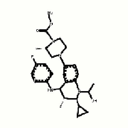 CC(O)N1c2ccc(N3CCN(C(=O)OC(C)(C)C)[C@@H](C)C3)cc2[C@H](Nc2ccc(F)cn2)[C@@H](C)[C@@H]1C1CC1